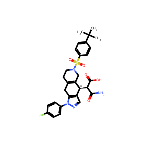 CC(C)(C)c1ccc(S(=O)(=O)N2CCC3=C(C2)[C@@H](C(C(N)=O)C(=O)O)c2cnn(-c4ccc(F)cc4)c2C3)cc1